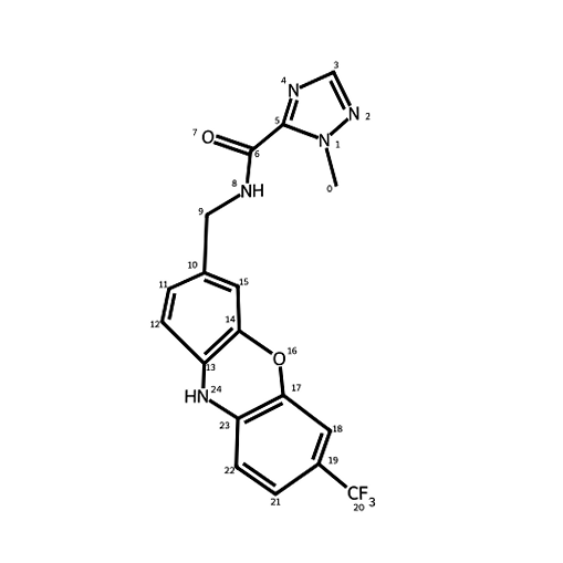 Cn1ncnc1C(=O)NCc1ccc2c(c1)Oc1cc(C(F)(F)F)ccc1N2